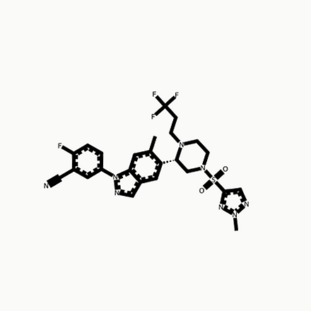 Cc1cc2c(cnn2-c2ccc(F)c(C#N)c2)cc1[C@H]1CN(S(=O)(=O)c2cnn(C)n2)CCN1CCC(F)(F)F